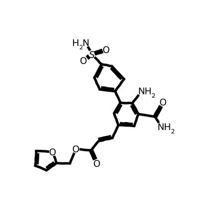 NC(=O)c1cc(/C=C/C(=O)OCc2ccco2)cc(-c2ccc(S(N)(=O)=O)cc2)c1N